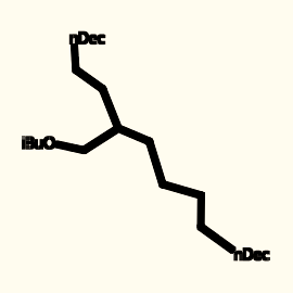 CCCCCCCCCCCCCCC(CCCCCCCCCCCC)COCC(C)C